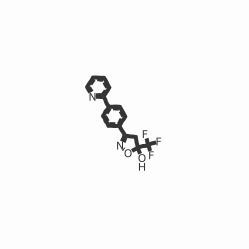 OC1(C(F)(F)F)CC(c2ccc(-c3ccccn3)cc2)=NO1